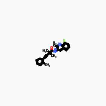 Cc1ccccc1C#CC(C)(C)C(=O)Nc1cc2cccc(F)c2nc1C